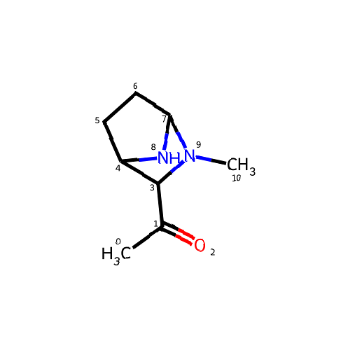 CC(=O)C1C2CCC(N2)N1C